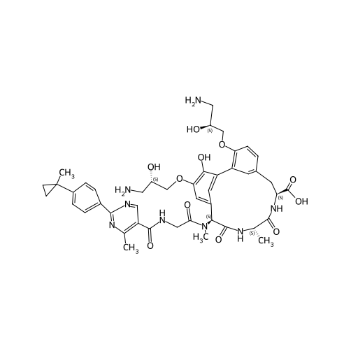 Cc1nc(-c2ccc(C3(C)CC3)cc2)ncc1C(=O)NCC(=O)N(C)[C@@H]1C(=O)N[C@@H](C)C(=O)N[C@H](C(=O)O)Cc2ccc(OC[C@@H](O)CN)c(c2)-c2cc1cc(OC[C@@H](O)CN)c2O